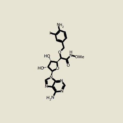 CONC(=O)C(OCc1ccc(N)c(I)c1)[C@H]1O[C@@H](n2cnc3c(N)ncnc32)[C@H](O)[C@@H]1O